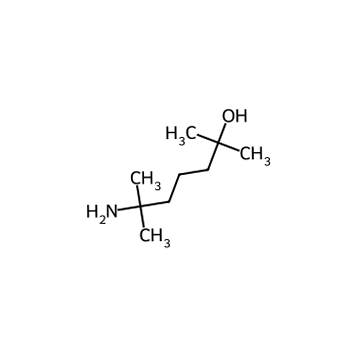 CC(C)(N)CCCC(C)(C)O